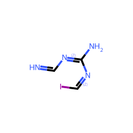 N=C/N=C(N)\N=C/I